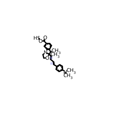 CN(C)c1ccc(/C=C/C=C/C23OCCN2c2cc(C(=O)OS)ccc2C3(C)C)cc1